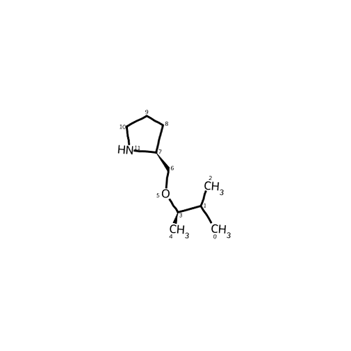 CC(C)[C@@H](C)OC[C@@H]1CCCN1